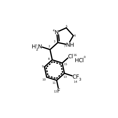 Cl.NC(C1=NCCN1)c1ccc(F)c(C(F)(F)F)c1Cl